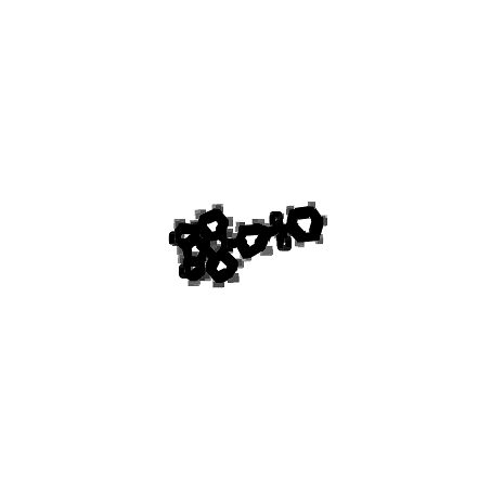 O=S(=O)(c1ccccc1)c1ccc(N2c3ccccc3C3(c4ccccc42)c2ccoc2-c2occc23)cc1